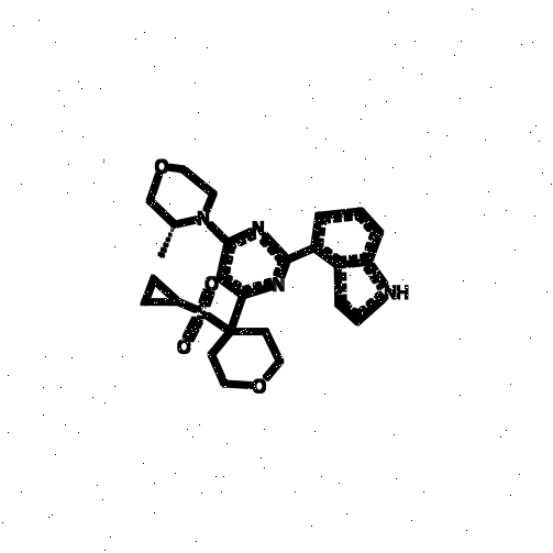 C[C@@H]1COCCN1c1cc(C2(S(=O)(=O)C3CC3)CCOCC2)nc(-c2cccc3[nH]ccc23)n1